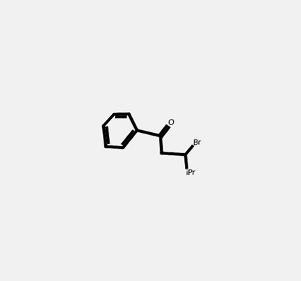 CC(C)C(Br)CC(=O)c1ccccc1